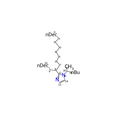 CCCCCCCCCCCCCCCCCC(CCCCCCCCCCC)c1nccn1C(C)CCCC